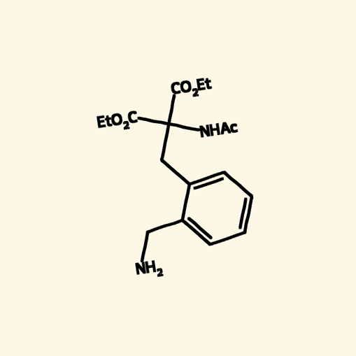 CCOC(=O)C(Cc1ccccc1CN)(NC(C)=O)C(=O)OCC